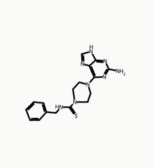 Nc1nc(N2CCN(C(=S)NCc3ccccc3)CC2)c2nc[nH]c2n1